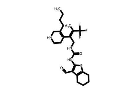 CCCCC1=C(/C(CNC(=O)Nc2sc3c(c2C=O)CCCC3)=C(\C)C(F)(F)F)CCNC1